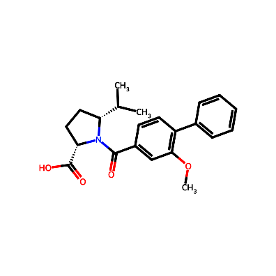 COc1cc(C(=O)N2[C@@H](C(C)C)CC[C@H]2C(=O)O)ccc1-c1ccccc1